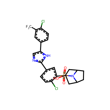 O=S(=O)(c1cc(-c2ncc(-c3ccc(Cl)c(C(F)(F)F)c3)[nH]2)ccc1Cl)N1C2CCC1CC(O)C2